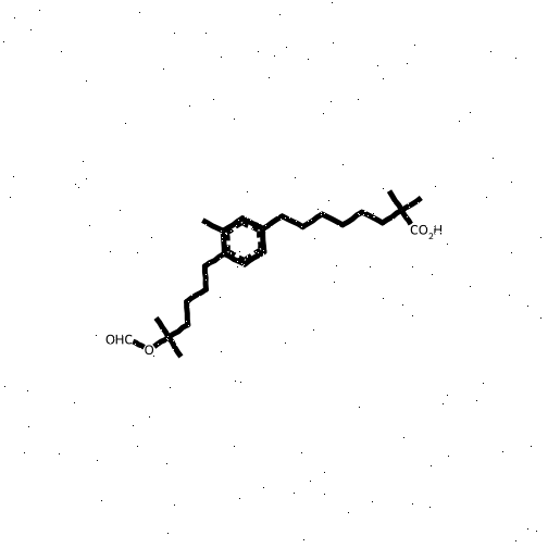 Cc1cc(CCCCCCC(C)(C)C(=O)O)ccc1CCCCC(C)(C)OC=O